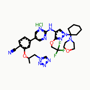 CC(Cn1cnnn1)Oc1cc(-c2cnc(Nc3cn(C4(N5CCOCC5)CCCCC4)nc3OCC(F)(F)F)nc2)ccc1C#N.Cl